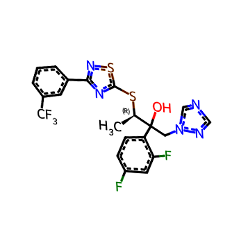 C[C@@H](Sc1nc(-c2cccc(C(F)(F)F)c2)ns1)C(O)(Cn1cncn1)c1ccc(F)cc1F